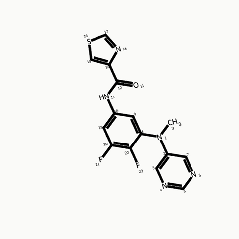 CN(c1cncnc1)c1cc(NC(=O)c2cscn2)cc(F)c1F